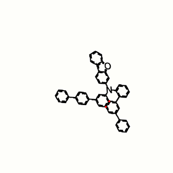 c1ccc(-c2ccc(-c3cccc(N(c4ccc5c(c4)oc4ccccc45)c4ccccc4-c4cccc(-c5ccccc5)c4)c3)cc2)cc1